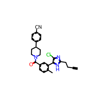 C#CCCc1nc(Cl)c(-c2cc(C(=O)N3CCC(c4ccc(C#N)cc4)CC3)ccc2C)[nH]1